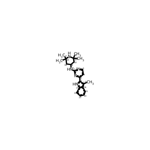 Cc1c(-c2ccnc(NC3CC(C)(C)NC(C)(C)C3)n2)[nH]c2ccccc12